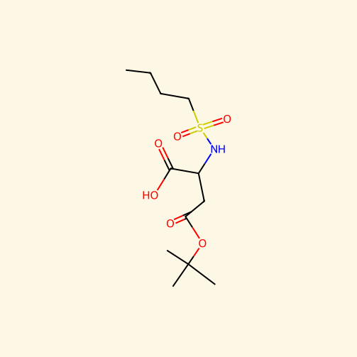 CCCCS(=O)(=O)NC(CC(=O)OC(C)(C)C)C(=O)O